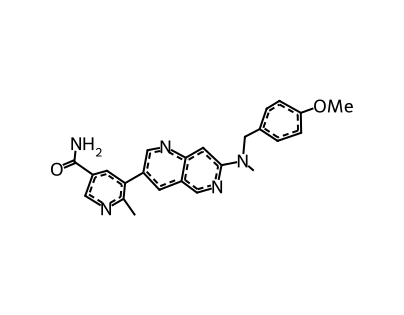 COc1ccc(CN(C)c2cc3ncc(-c4cc(C(N)=O)cnc4C)cc3cn2)cc1